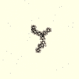 CC1(C)c2ccc(-c3ccc(N(c4ccc(-c5ccccc5)cc4)c4ccc(-c5ccc6sc7ccccc7c6c5)cc4)cc3)cc2-c2ccc(-c3ccccc3)cc21